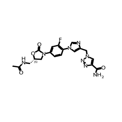 CC(=O)NC[C@H]1CN(c2ccc(-n3cnc(Cn4cc(C(N)=O)nn4)c3)c(F)c2)C(=O)O1